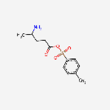 Cc1ccc(S(=O)(=O)OC(=O)CCC(C)N)cc1